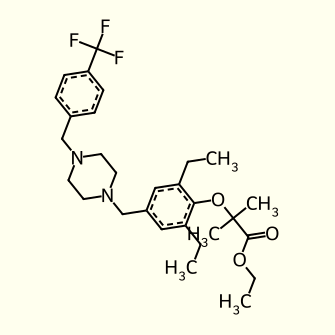 CCOC(=O)C(C)(C)Oc1c(CC)cc(CN2CCN(Cc3ccc(C(F)(F)F)cc3)CC2)cc1CC